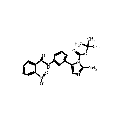 CC(C)(C)OC(=O)n1c(-c2cccc(NC(=O)c3ccccc3[N+](=O)[O-])c2)cnc1N